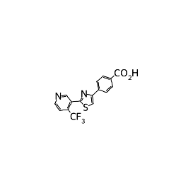 O=C(O)c1ccc(-c2csc(-c3cnccc3C(F)(F)F)n2)cc1